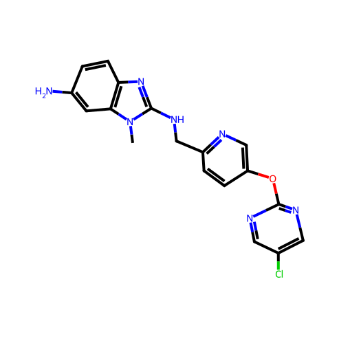 Cn1c(NCc2ccc(Oc3ncc(Cl)cn3)cn2)nc2ccc(N)cc21